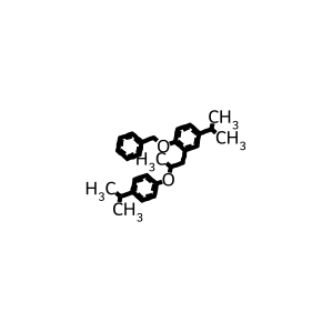 CC(Cc1cc(C(C)C)ccc1OCc1ccccc1)Oc1ccc(C(C)C)cc1